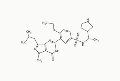 CCOc1ccc(S(=O)(=O)NC(C)C2CCNC2)cc1-c1nc2c(CC(C)C)nn(C)c2c(=O)[nH]1